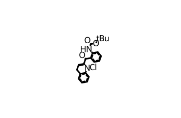 CC(C)(C)OC(=O)Nc1ccccc1C(=O)C1=CCc2ccccc2N1Cl